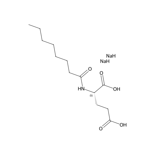 CCCCCCCC(=O)N[C@@H](CCC(=O)O)C(=O)O.[NaH].[NaH]